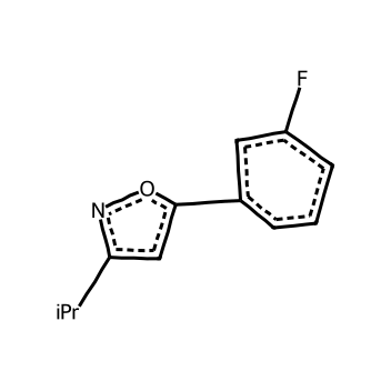 CC(C)c1cc(-c2cccc(F)c2)on1